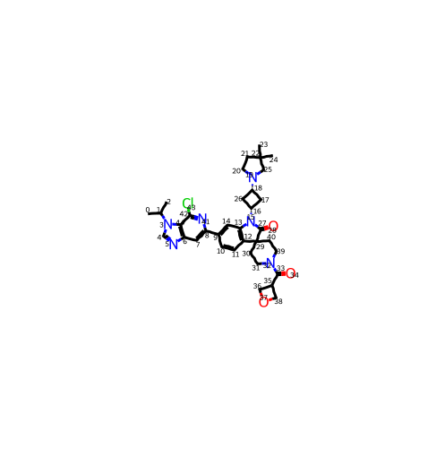 CC(C)n1cnc2cc(-c3ccc4c(c3)N([C@H]3C[C@@H](N5CCC(C)(C)C5)C3)C(=O)C43CCN(C(=O)C4COC4)CC3)nc(Cl)c21